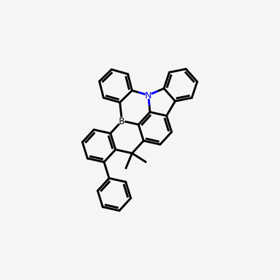 CC1(C)c2ccc3c4ccccc4n4c3c2B(c2ccccc2-4)c2cccc(-c3ccccc3)c21